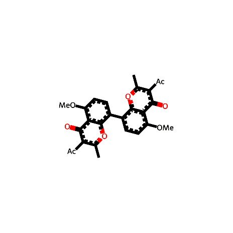 COc1ccc(-c2ccc(OC)c3c(=O)c(C(C)=O)c(C)oc23)c2oc(C)c(C(C)=O)c(=O)c12